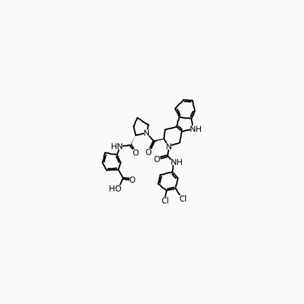 O=C(O)c1cccc(NC(=O)[C@@H]2CCCN2C(=O)[C@H]2Cc3c([nH]c4ccccc34)CN2C(=O)Nc2ccc(Cl)c(Cl)c2)c1